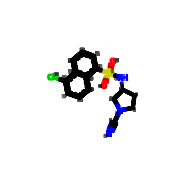 N#CN1CC[C@@H](NS(=O)(=O)c2cccc3c(Cl)cccc23)C1